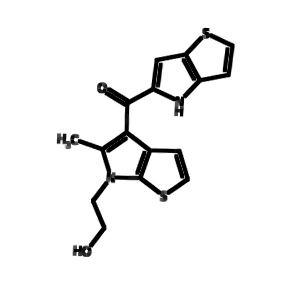 Cc1c(C(=O)c2cc3sccc3[nH]2)c2ccsc2n1CCO